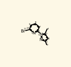 Cc1cc(C)n(-c2cccc(Br)n2)n1